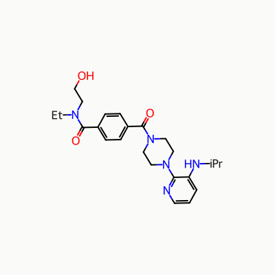 CCN(CCO)C(=O)c1ccc(C(=O)N2CCN(c3ncccc3NC(C)C)CC2)cc1